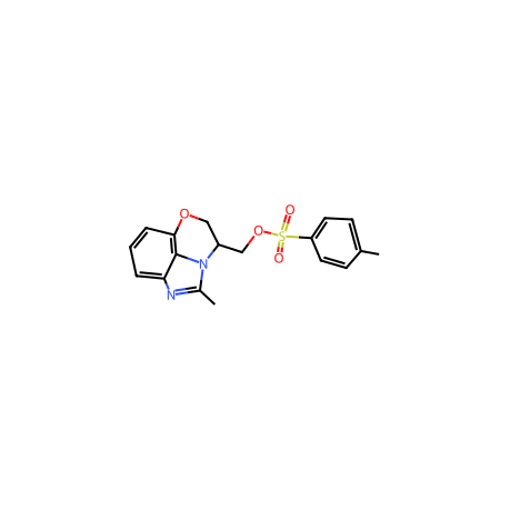 Cc1ccc(S(=O)(=O)OCC2COc3cccc4nc(C)n2c34)cc1